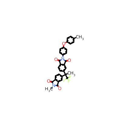 Cc1ccc(Oc2ccc(N3C(=O)c4ccc(C(C)(c5ccc6c(c5)C(=O)N(C)C6=O)C(F)(F)F)cc4C3=O)cc2)cc1